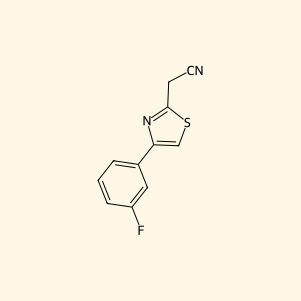 N#CCc1nc(-c2cccc(F)c2)cs1